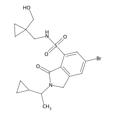 CC(C1CC1)N1Cc2cc(Br)cc(S(=O)(=O)NCC3(CO)CC3)c2C1=O